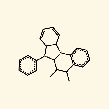 CC1c2ccccc2N2C3C=CC=CC3N(c3ccccc3)C2C1C